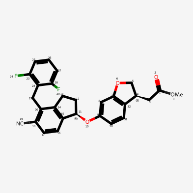 COC(=O)C[C@@H]1COc2cc(O[C@@H]3CCc4c3ccc(C#N)c4Cc3c(F)cccc3F)ccc21